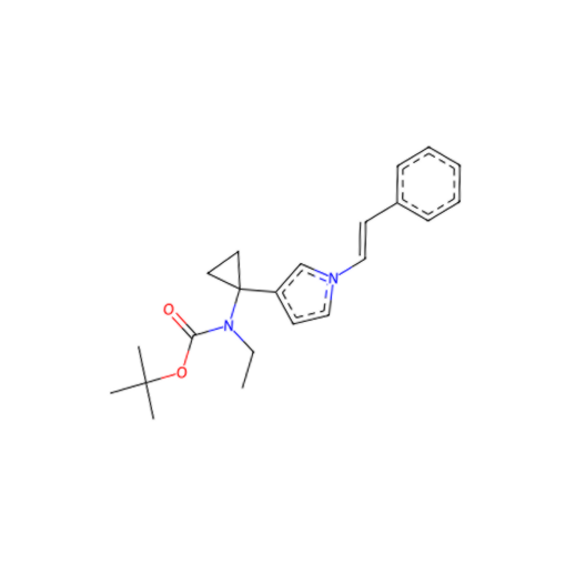 CCN(C(=O)OC(C)(C)C)C1(c2ccn(C=Cc3ccccc3)c2)CC1